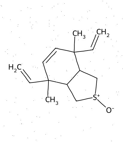 C=CC1(C)C=CC(C)(C=C)C2C[S+]([O-])CC21